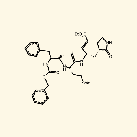 CCOC(=O)/C=C/[C@H](C[C@@H]1CCNC1=O)NC(=O)[C@H](CCSC)NC(=O)[C@H](Cc1ccccc1)NC(=O)OCc1ccccc1